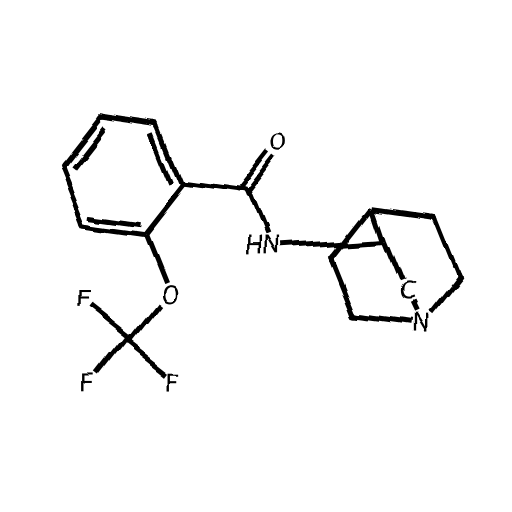 O=C(NC1CN2CCC1CC2)c1ccccc1OC(F)(F)F